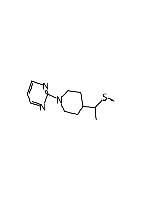 CSC(C)C1CCN(c2ncccn2)CC1